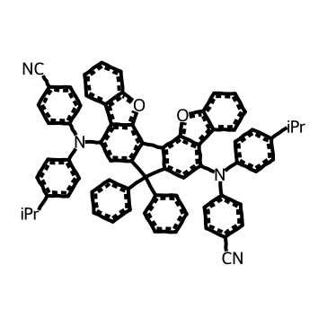 CC(C)c1ccc(N(c2ccc(C#N)cc2)c2cc3c(c4oc5ccccc5c24)-c2c(cc(N(c4ccc(C#N)cc4)c4ccc(C(C)C)cc4)c4c2oc2ccccc24)C3(c2ccccc2)c2ccccc2)cc1